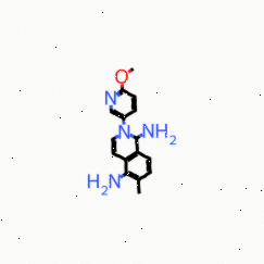 COc1ccc(N2C=Cc3c(ccc(C)c3N)C2N)cn1